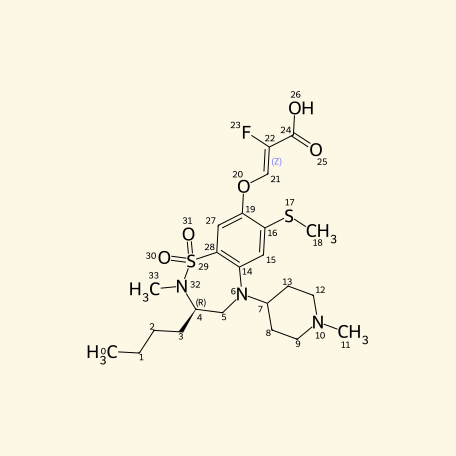 CCCC[C@@H]1CN(C2CCN(C)CC2)c2cc(SC)c(O/C=C(\F)C(=O)O)cc2S(=O)(=O)N1C